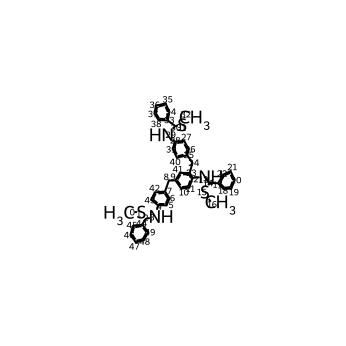 CSC(Nc1ccc(Cc2ccc(NC(SC)c3ccccc3)c(Cc3ccc(NC(SC)c4ccccc4)cc3)c2)cc1)c1ccccc1